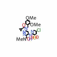 CNC(=O)c1nnc(N(Cc2ccc(OC)cc2OC)C(=O)C2CC2)cc1Nc1ncc(Cl)cc1S(C)(=O)=O